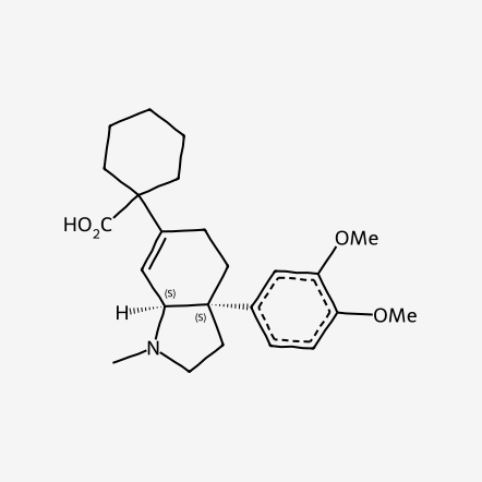 COc1ccc([C@@]23CCC(C4(C(=O)O)CCCCC4)=C[C@@H]2N(C)CC3)cc1OC